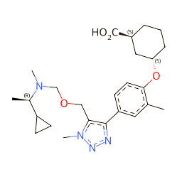 Cc1cc(-c2nnn(C)c2COCN(C)[C@H](C)C2CC2)ccc1O[C@H]1CCC[C@H](C(=O)O)C1